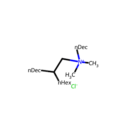 CCCCCCCCCCC(CCCCCC)C[N+](C)(C)CCCCCCCCCC.[Cl-]